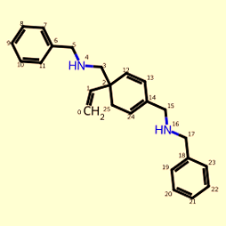 C=CC1(CNCc2ccccc2)C=CC(CNCc2ccccc2)=CC1